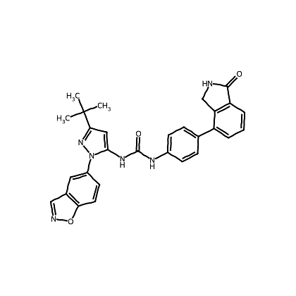 CC(C)(C)c1cc(NC(=O)Nc2ccc(-c3cccc4c3CNC4=O)cc2)n(-c2ccc3oncc3c2)n1